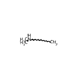 CCCCCCCCCCCCCCCCNC(C)CC